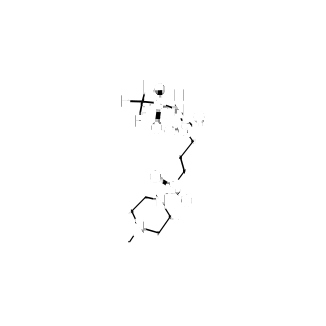 CN1CCN(S(=O)(=O)CCCS(=O)(=O)NS(=O)(=O)C(F)(F)F)CC1